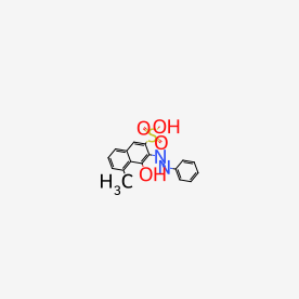 Cc1cccc2cc(S(=O)(=O)O)c(N=Nc3ccccc3)c(O)c12